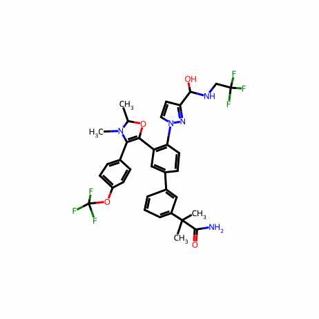 CC1OC(c2cc(-c3cccc(C(C)(C)C(N)=O)c3)ccc2-n2ccc(C(O)NCC(F)(F)F)n2)=C(c2ccc(OC(F)(F)F)cc2)N1C